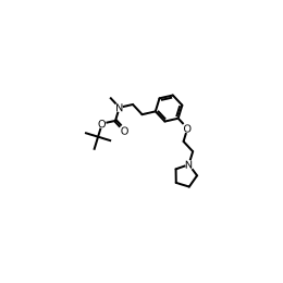 CN(CCc1cccc(OCCN2CCCC2)c1)C(=O)OC(C)(C)C